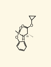 C[C@H](NP(C)(=O)Oc1ccccc1)C(=O)OC1CC1